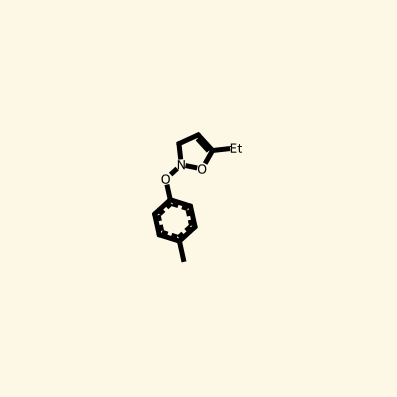 CCC1=CCN(Oc2ccc(C)cc2)O1